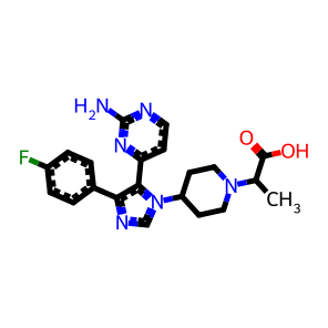 CC(C(=O)O)N1CCC(n2cnc(-c3ccc(F)cc3)c2-c2ccnc(N)n2)CC1